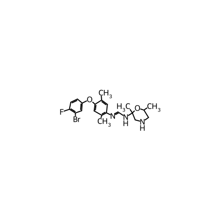 Cc1cc(Oc2ccc(F)c(Br)c2)c(C)cc1/N=C/NC1(C)CNCC(C)O1